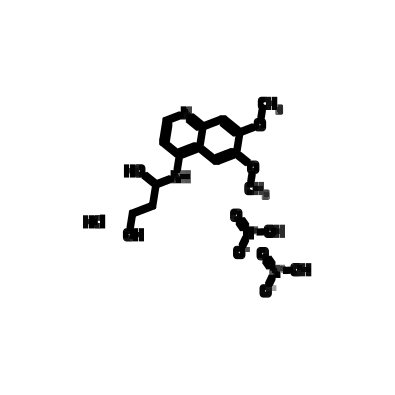 COc1cc2nccc(NC(O)CCO)c2cc1OC.Cl.O=[N+]([O-])O.O=[N+]([O-])O